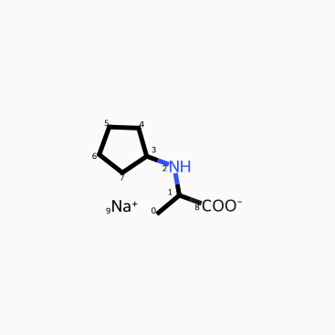 CC(NC1CCCC1)C(=O)[O-].[Na+]